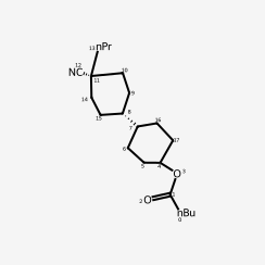 CCCCC(=O)OC1CCC([C@H]2CC[C@](C#N)(CCC)CC2)CC1